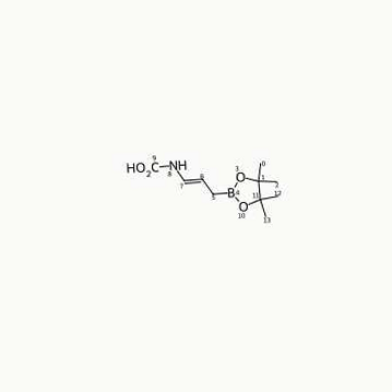 CC1(C)OB(CC=CNC(=O)O)OC1(C)C